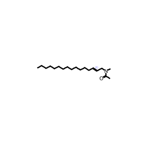 CCCCCCCCCCCCC/C=C/CN(C)C(C)=O